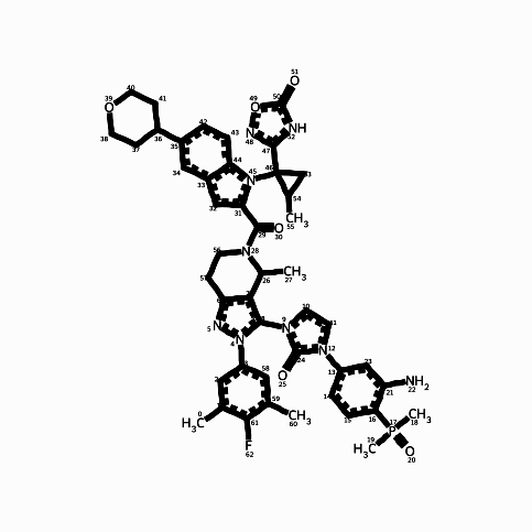 Cc1cc(-n2nc3c(c2-n2ccn(-c4ccc(P(C)(C)=O)c(N)c4)c2=O)C(C)N(C(=O)c2cc4cc(C5CCOCC5)ccc4n2C2(c4noc(=O)[nH]4)CC2C)CC3)cc(C)c1F